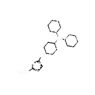 C1CC[CH]([Sn+]([CH]2CCCCC2)[CH]2CCCCC2)CC1.O=C([O-])c1ccc(Cl)s1